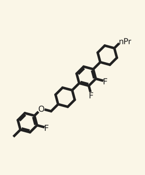 CCCC1CCC(c2ccc(C3CCC(COc4ccc(C)cc4F)CC3)c(F)c2F)CC1